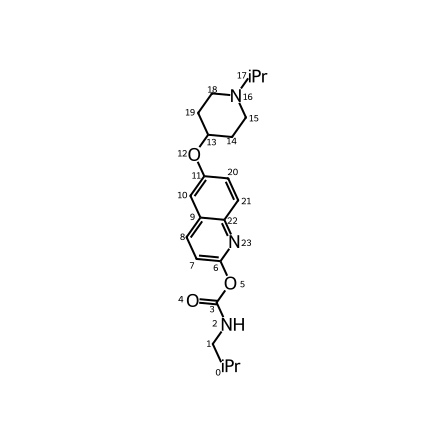 CC(C)CNC(=O)Oc1ccc2cc(OC3CCN(C(C)C)CC3)ccc2n1